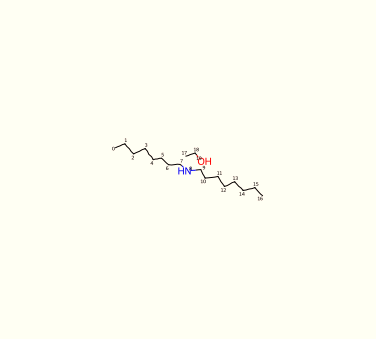 CCCCCCCCNCCCCCCCC.CCO